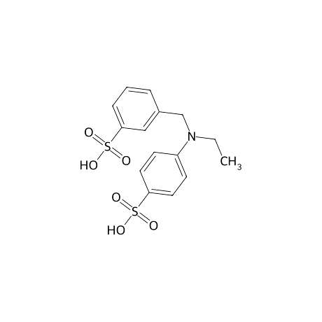 CCN(Cc1cccc(S(=O)(=O)O)c1)c1ccc(S(=O)(=O)O)cc1